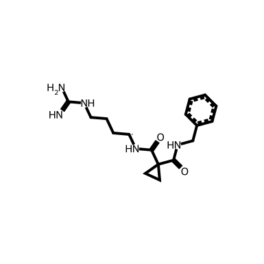 N=C(N)NCCC[CH]NC(=O)C1(C(=O)NCc2ccccc2)CC1